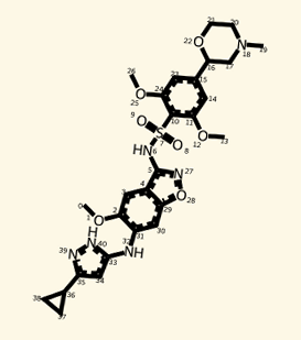 COc1cc2c(NS(=O)(=O)c3c(OC)cc(C4CN(C)CCO4)cc3OC)noc2cc1Nc1cc(C2CC2)n[nH]1